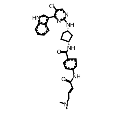 CN(C)C/C=C/C(=O)Nc1ccc(C(=O)N[C@@H]2CC[C@H](Nc3ncc(Cl)c(-c4c[nH]c5ccccc45)n3)C2)cc1